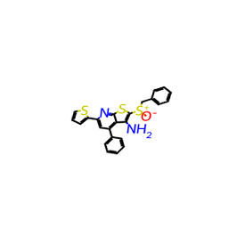 Nc1c([S+]([O-])Cc2ccccc2)sc2nc(-c3cccs3)cc(-c3ccccc3)c12